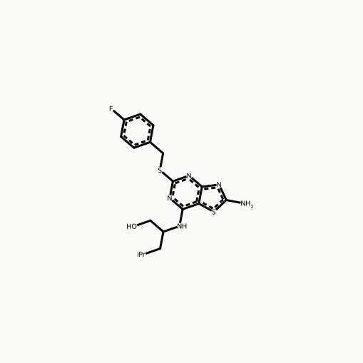 CC(C)CC(CO)Nc1nc(SCc2ccc(F)cc2)nc2nc(N)sc12